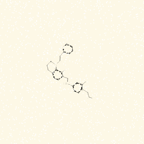 Cc1c(CNc2ccc(CCC=O)c(F)c2)ccc2c1N(CCc1ccccn1)CCC2